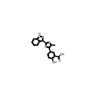 Cc1sc(-c2n[nH]c3ccccc23)nc1-c1ccc(O)c(C(=O)O)c1